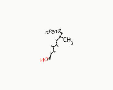 CCCCCCC(C)CCCCC=CO